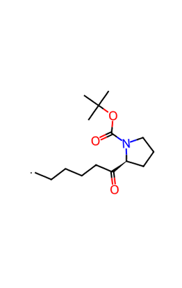 [CH2]CCCCC(=O)[C@@H]1CCCN1C(=O)OC(C)(C)C